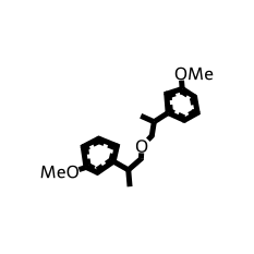 COc1cccc(C(C)COCC(C)c2cccc(OC)c2)c1